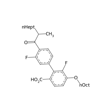 CCCCCCCCOc1ccc(C(=O)O)c(-c2ccc(C(=O)C(C)CCCCCCC)c(F)c2)c1F